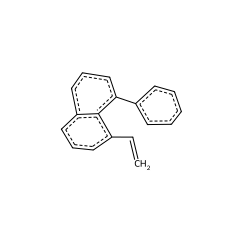 C=Cc1cccc2cccc(-c3ccccc3)c12